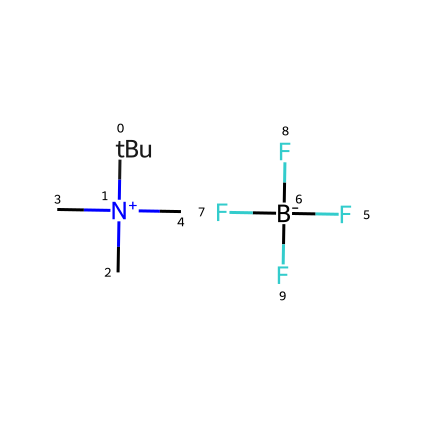 CC(C)(C)[N+](C)(C)C.F[B-](F)(F)F